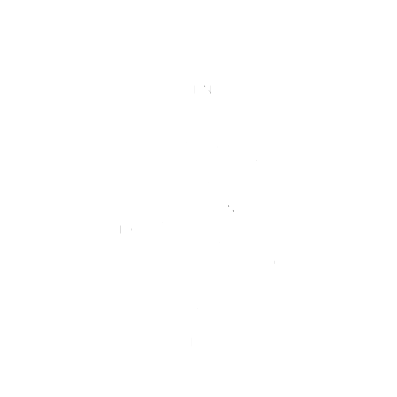 O=S(=O)(c1cc(O)c2cc(Cl)cc(Cl)c2n1)C1CSCCN1